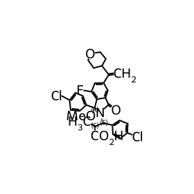 C=C(c1cc(F)c2c(c1)C(=O)N([C@H](c1ccc(Cl)cc1)[C@H](C)C(=O)O)[C@@]2(OC)c1ccc(Cl)cc1)C1CCOCC1